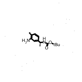 Cc1ccc([C@H](C)NC(=O)OC(C)(C)C)cc1N